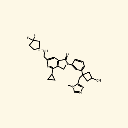 Cn1cnnc1CC1(c2cccc(N3Cc4c(cc(CN[C@@H]5CCC(F)(F)C5)nc4C4CC4)C3=O)c2)CC(C#N)C1